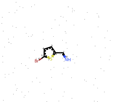 N=Cc1ccc(Br)s1